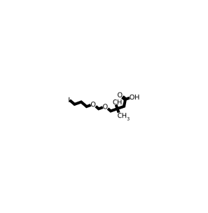 CC(C)(COCOCCCI)CC(=O)O